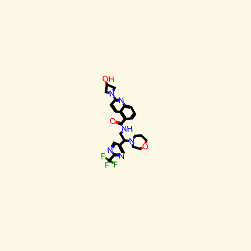 O=C(NCC(c1cnc(C(F)(F)F)nc1)N1CCCOCC1)c1cccc2nc(N3CC(O)C3)ccc12